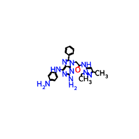 CCn1nc(C)cc1NC(=O)Cn1c(-c2ccccc2)nc2c(Nc3ccc(N)cc3)nc(N)nc21